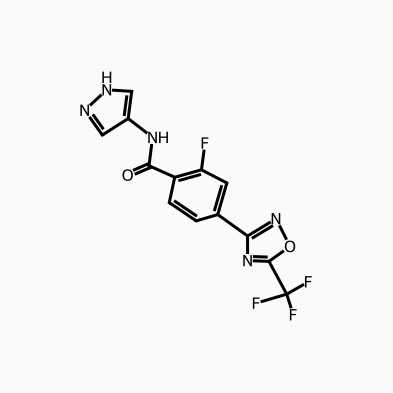 O=C(Nc1cn[nH]c1)c1ccc(-c2noc(C(F)(F)F)n2)cc1F